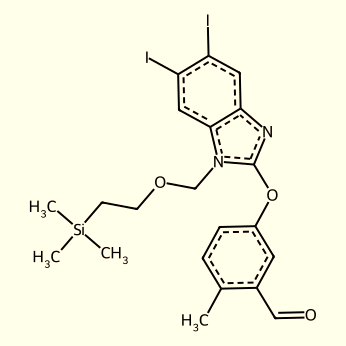 Cc1ccc(Oc2nc3cc(I)c(I)cc3n2COCC[Si](C)(C)C)cc1C=O